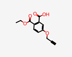 C#CCOc1ccc(C(=O)OCC)c(C(=O)O)c1